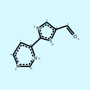 O=Cc1cnc(-c2ccncn2)s1